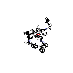 Cc1c(CN(C)C(=O)/C=C/c2cnc3c(c2)NCCC(=O)N3COP(=O)(OCN2C(=O)CCNc3cc(/C=C/C(=O)N(C)Cc4oc5ccccc5c4C)cnc32)OCN2C(=O)CCNc3cc(/C=C/C(=O)N(C)Cc4oc5ccccc5c4C)cnc32)oc2ccccc12